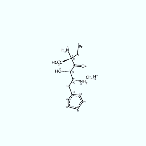 CC(C)C[C@](N)(C(=O)O)C(=O)[C@@H](O)[C@H](N)Cc1ccccc1.[Cl-].[H+]